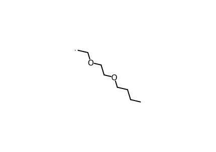 [CH2]COCCOCCCC